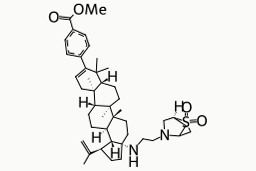 C=C(C)[C@@H]1CC[C@]2(NCCN3C[C@@H]4CC3CS4(=O)=O)CC[C@]3(C)[C@H](CC[C@@H]4[C@@]5(C)CC=C(c6ccc(C(=O)OC)cc6)C(C)(C)[C@@H]5CC[C@]43C)[C@@H]12